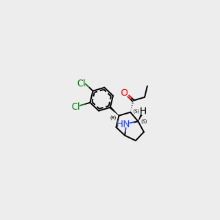 CCC(=O)[C@@H]1[C@@H]2CCC(C[C@H]1c1ccc(Cl)c(Cl)c1)N2